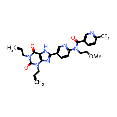 C=CCn1c(=O)c2[nH]c(-c3ccc(N(CCOC)C(=O)c4ccc(C(F)(F)F)nc4)nc3)nc2n(CC=C)c1=O